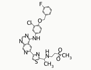 CC(NCCS(C)(=O)=O)c1nc(-c2cc3c(Nc4ccc(OCc5cccc(F)c5)c(Cl)c4)ncnc3cn2)cs1